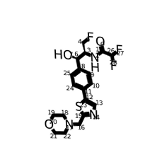 O=C(N[C@H](CF)[C@H](O)c1ccc(-c2cnc(CN3CCOCC3)s2)cc1)C(F)F